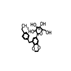 CCc1ccc(Cc2cc([C@@H]3O[C@H](CO)[C@H](O)[C@H](O)[C@@H]3O)cc3c2OCCO3)cc1